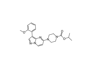 COc1ccccc1-c1cnn2ccc(N3CCN(C(=O)OC(C)C)CC3)nc12